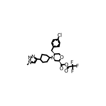 Cn1cc(C2CCC(N3C[C@H](C(=O)OC(=O)C(F)(F)F)OC[C@@H]3Cc3ccc(Cl)cc3)CC2)nn1